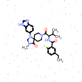 CCc1ccc(F)c(C(=O)NC(C(=O)N2CCC3(CC2)C(=O)N(C)CN3c2ccc3nc[nH]c3c2)C(C)C)c1